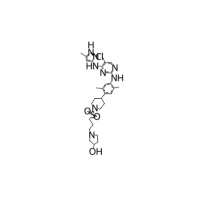 Cc1cc(Nc2nc(Nc3cc(C)c(C4CCN(S(=O)(=O)CCCN5CCC(O)C5)CC4)cc3C)ncc2Cl)n[nH]1